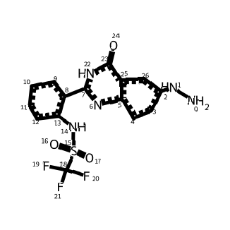 NNc1ccc2nc(-c3ccccc3NS(=O)(=O)C(F)(F)F)[nH]c(=O)c2c1